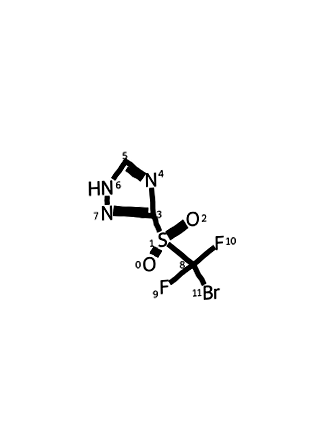 O=S(=O)(c1nc[nH]n1)C(F)(F)Br